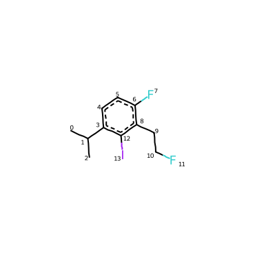 CC(C)c1ccc(F)c(CCF)c1I